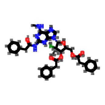 CNc1nc(NC(=O)Cc2ccccc2)nc2c1ncn2[C@@H]1OC(COC(=O)Cc2ccccc2)[C@@H](OC(=O)Cc2ccccc2)[C@@]1(C)F